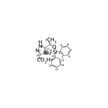 C[C@@H](O[Si](c1ccccc1)(c1ccccc1)C(C)(C)C)c1cc(C(=O)O)n[nH]1